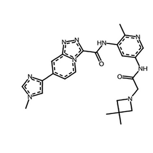 Cc1ncc(NC(=O)CN2CC(C)(C)C2)cc1NC(=O)c1nnc2cc(-c3cn(C)cn3)ccn12